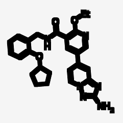 CCOc1ncc(-c2ccn3nc(N)nc3c2)cc1C(=O)NCc1ccccc1OC1CCCC1